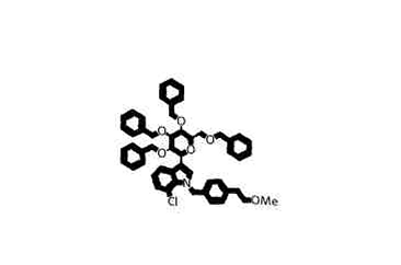 COCCc1ccc(Cn2cc([C@@H]3O[C@H](COCc4ccccc4)[C@@H](OCc4ccccc4)[C@H](OCc4ccccc4)[C@H]3OCc3ccccc3)c3cccc(Cl)c32)cc1